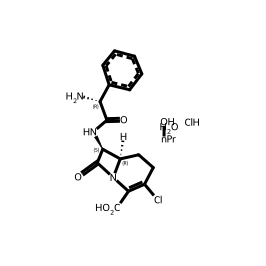 CCCO.Cl.N[C@@H](C(=O)N[C@@H]1C(=O)N2C(C(=O)O)=C(Cl)CC[C@H]12)c1ccccc1.O